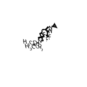 CC(C)(C)OC(=O)N1CC2(CC(Cc3cn(C4CC4)nc3C(F)(F)F)C2)C1